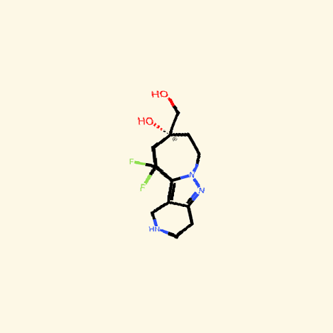 OC[C@@]1(O)CCn2nc3c(c2C(F)(F)C1)CNCC3